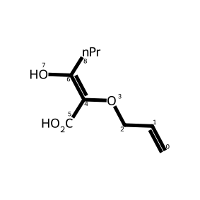 C=CCO/C(C(=O)O)=C(/O)CCC